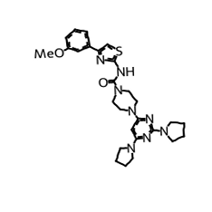 COc1cccc(-c2csc(NC(=O)N3CCN(c4cc(N5CCCC5)nc(N5CCCC5)n4)CC3)n2)c1